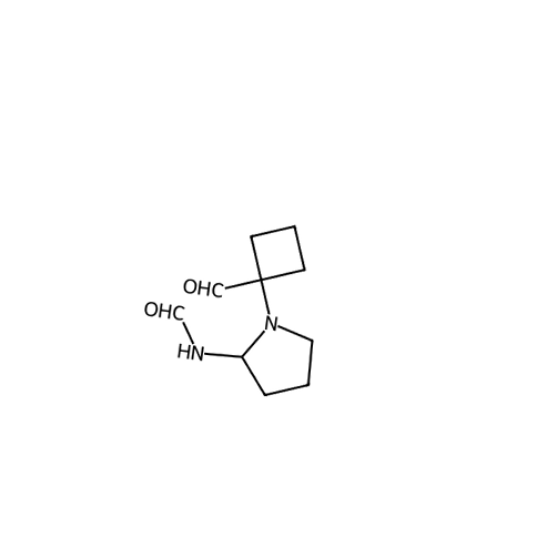 O=CNC1CCCN1C1(C=O)CCC1